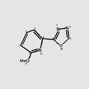 COc1cccc(-c2nnco2)n1